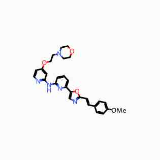 COc1ccc(C=Cc2ncc(-c3cccc(Nc4cc(OCCN5CCOCC5)ccn4)n3)o2)cc1